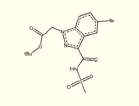 CC(C)(C)OC(=O)Cn1nc(C(=O)NS(C)(=O)=O)c2cc(Br)ccc21